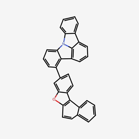 c1ccc2c(c1)ccc1oc3cc(-c4cccc5c4c4cccc6c7ccccc7n5c64)ccc3c12